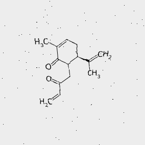 C=CC(=O)CC1C(=O)C(C)=CC[C@H]1C(=C)C